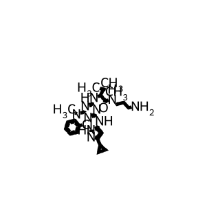 CN(c1nc(Nc2cc(C3CC3)n[nH]2)nc(NC(C(=O)NCCCN)C(C)(C)C)n1)c1ccccc1Cl